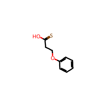 OC(=S)CCOc1ccccc1